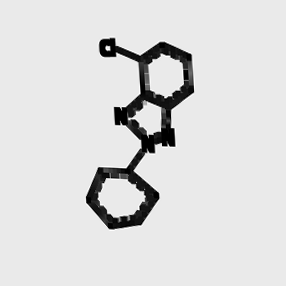 Clc1cccc2nn(-c3ccccc3)nc12